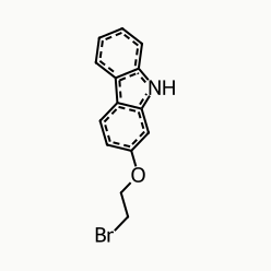 BrCCOc1ccc2c(c1)[nH]c1ccccc12